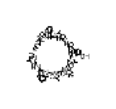 CC[C@H](C)[C@@H]1NC(=O)[C@H](CC(C)C)N(C)C(=O)CCCN(C)C(=O)C[C@@H](C(=O)N2CCCCC2)NC(=O)[C@H](CC(C)C)N(C)C(=O)[C@H](C)N(C)C(=O)[C@H](Cc2ccc(O)cc2)NC(=O)[C@H](CC(C)C)N(C)C(=O)[C@H](COC(C)(C)C)NC(=O)[C@H](CC(C)C)N(C)C(=O)[C@H](Cc2ccccc2)N(C)C1=O